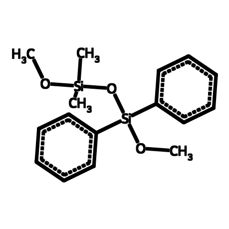 CO[Si](C)(C)O[Si](OC)(c1ccccc1)c1ccccc1